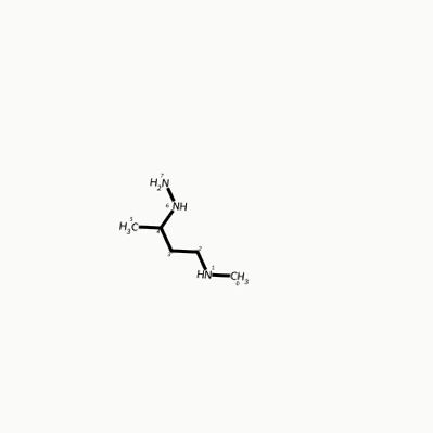 CNCCC(C)NN